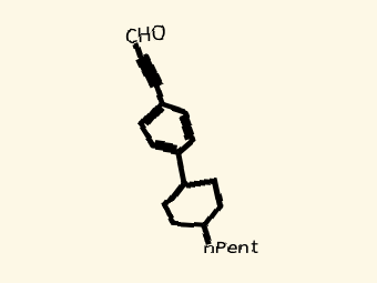 CCCCCC1CCC(c2ccc(C#CC=O)cc2)CC1